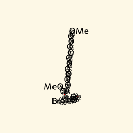 COCCOCCCC1(CCCOCCOCCOCCOCCOCCOCCOCCOCCOCCOCCOCCOC)c2cc(Br)ccc2-c2ccc(B3OC(C)(C)C(C)(C)O3)cc21